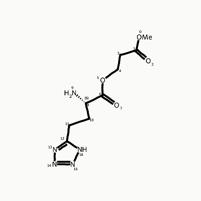 COC(=O)CCOC(=O)[C@@H](N)CCc1nnn[nH]1